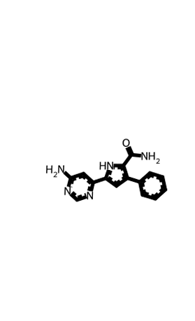 NC(=O)c1[nH]c(-c2cc(N)ncn2)cc1-c1ccccc1